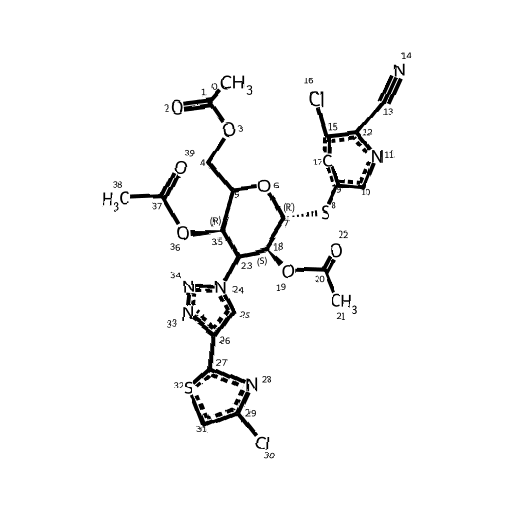 CC(=O)OCC1O[C@H](Sc2cnc(C#N)c(Cl)c2)[C@@H](OC(C)=O)C(n2cc(-c3nc(Cl)cs3)nn2)[C@H]1OC(C)=O